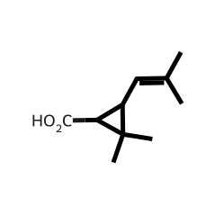 CC(C)=CC1C(C(=O)O)C1(C)C